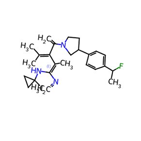 C=N/C(NC1(C)CC1)=C(\C)C(C(=C)N1CCC(c2ccc(C(C)F)cc2)C1)=C(C)C